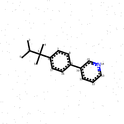 CC(C)C(C)(C)c1ccc(-c2cccnc2)cc1